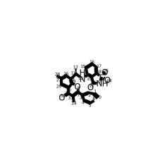 C#C/C=C(\C=C/C)c1oc2c([C@@H](C)Nc3cccc4c3C(=O)NS4(=O)=O)cc(C)cc2c(=O)c1C